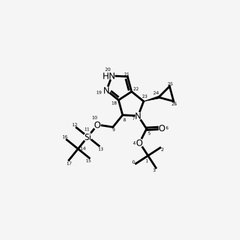 CC(C)(C)OC(=O)N1C(CO[Si](C)(C)C(C)(C)C)c2n[nH]cc2[C@H]1C1CC1